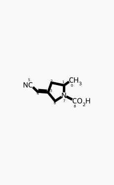 CC1CC(=CC#N)CN1C(=O)O